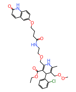 CCOC(=O)C1=C(COCCNC(=O)CCCOc2ccc3[nH]c(=O)ccc3c2)NC(C)=C(COOC)C1c1ccccc1Cl